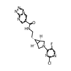 O=C(NCC[C@@H]1[C@H]2CN(c3nc(Cl)ncc3F)C[C@@H]12)c1cnc2nncn2c1